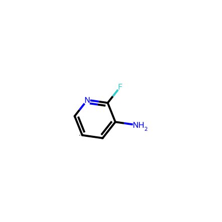 Nc1c[c]cnc1F